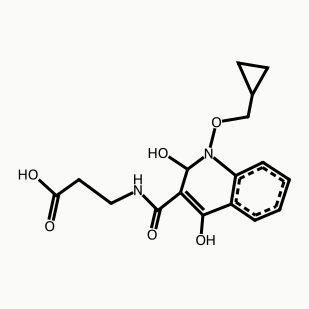 O=C(O)CCNC(=O)C1=C(O)c2ccccc2N(OCC2CC2)C1O